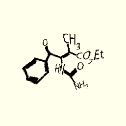 CCOC(=O)C(C)=C(NC(N)=O)C(=O)c1ccccc1